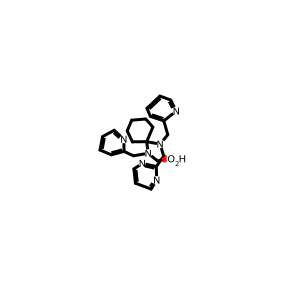 O=C(O)CN(Cc1ccccn1)C1(N(Cc2ccccn2)Cc2ncccn2)CCCCC1